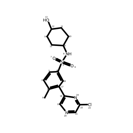 Cc1ccc(S(=O)(=O)NC2CCC(O)CC2)cc1-c1cncc(Cl)n1